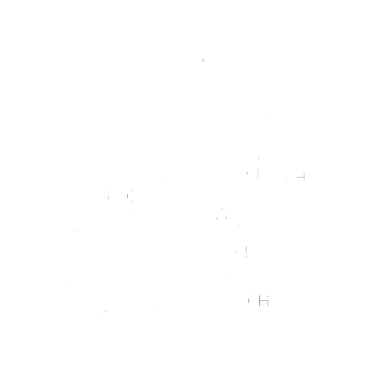 C[CH]=[Zr]([Cl])([Cl])([CH]1C(C)=CC2=C1CCCC2)[CH]1C(C)=CC2=C1CCCC2